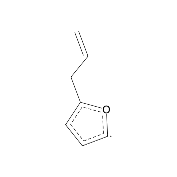 C=CCc1cc[c]o1